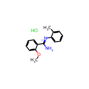 COc1ccccc1/C(N)=N/c1ccccc1C.Cl